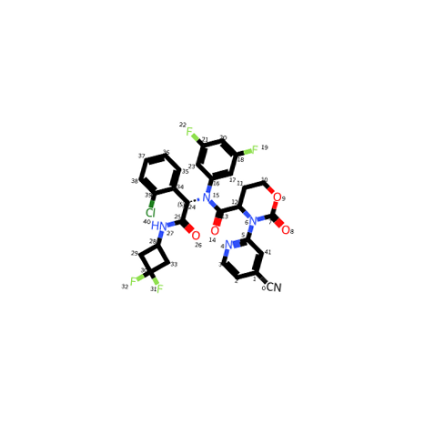 N#Cc1ccnc(N2C(=O)OCCC2C(=O)N(c2cc(F)cc(F)c2)[C@H](C(=O)NC2CC(F)(F)C2)c2ccccc2Cl)c1